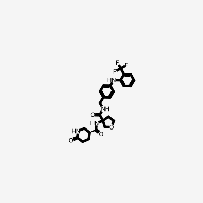 O=C1CC[C@H](C(=O)NC2(C(=O)NCc3ccc(Nc4ccccc4C(F)(F)F)cc3)CCOC2)CN1